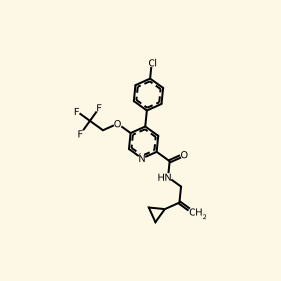 C=C(CNC(=O)c1cc(-c2ccc(Cl)cc2)c(OCC(F)(F)F)cn1)C1CC1